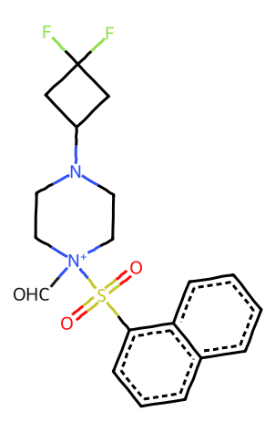 O=C[N+]1(S(=O)(=O)c2cccc3ccccc23)CCN(C2CC(F)(F)C2)CC1